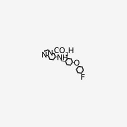 O=C(O)c1c(NCc2ccc(Oc3ccc(F)cc3)cc2)ccc2nccn12